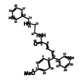 COc1ccc(/C(=C\C=C\C(=O)NCCNCc2cccnc2)c2cccnc2)cc1